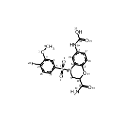 COc1cc(S(=O)(=O)N2CC(C(N)=O)Oc3ccc(NC(=O)O)cc32)ccc1F